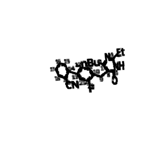 CCCCc1nc(CC)[nH]c(=O)c1Cc1ccc(-c2ccccc2C#N)cc1F